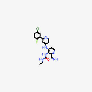 CCNC(=O)Nc1c(Nc2ccnc(-c3cc(Cl)ccc3F)c2)ccnc1C=N